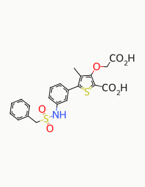 Cc1c(-c2cccc(NS(=O)(=O)Cc3ccccc3)c2)sc(C(=O)O)c1OCC(=O)O